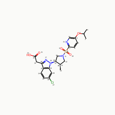 CC(C)Oc1ccc(S(=O)(=O)N2C[C@@H](C)[C@@H](n3nc(CC(=O)O)c4ccc(Cl)cc43)C2)nc1